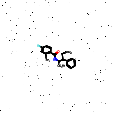 CCOC(=O)C(NC(=O)c1ccc(F)cc1C(F)(F)F)C(C[N+](=O)[O-])c1ccccc1